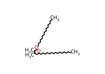 CCCCCCCCCCCCCCCCCCC(C)=C(C)C(=O)OCCCCCCCCCCCCCCCC